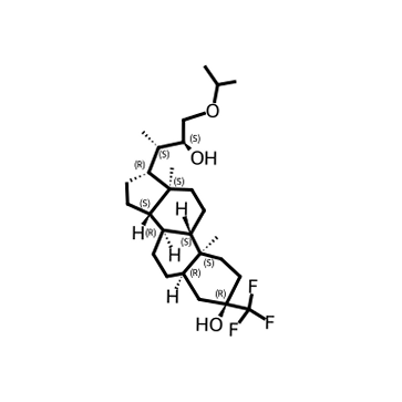 CC(C)OC[C@@H](O)[C@@H](C)[C@H]1CC[C@H]2[C@@H]3CC[C@@H]4C[C@@](O)(C(F)(F)F)CC[C@]4(C)[C@H]3CC[C@]12C